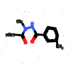 CCCCCCCCC(=O)N(NC(=O)c1cccc(C)c1)C(C)(C)C